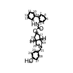 O=C(Nc1ccccc1-c1ccccc1)O[C@H]1C[C@@H]2CN(Cc3ccc(O)cc3)C[C@@H]2C1